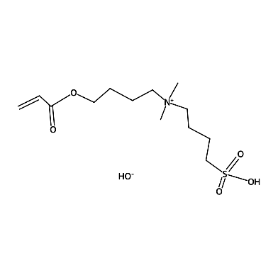 C=CC(=O)OCCCC[N+](C)(C)CCCCS(=O)(=O)O.[OH-]